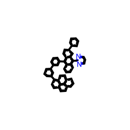 c1ccc(-c2ccc3c(-c4cccc(-c5cccc(-c6ccc7ccc8cccc9ccc6c7c89)c5)c4)c4ccccc4c(-c4ncccn4)c3c2)cc1